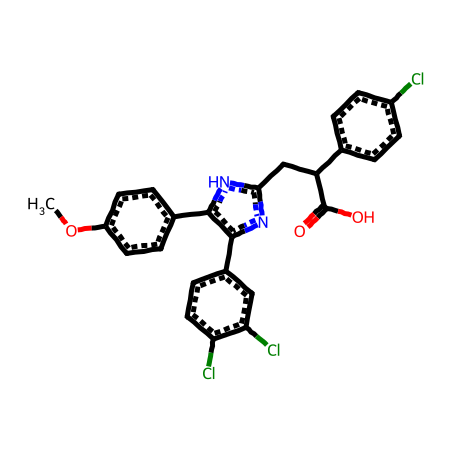 COc1ccc(-c2[nH]c(CC(C(=O)O)c3ccc(Cl)cc3)nc2-c2ccc(Cl)c(Cl)c2)cc1